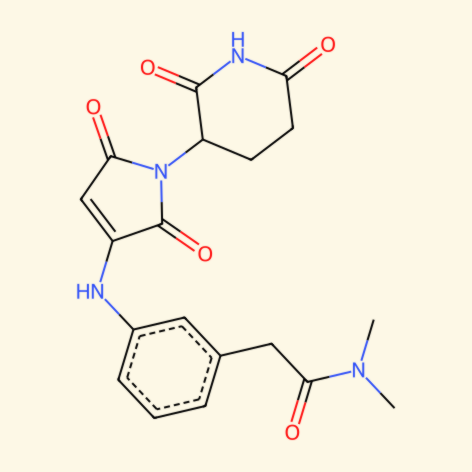 CN(C)C(=O)Cc1cccc(NC2=CC(=O)N(C3CCC(=O)NC3=O)C2=O)c1